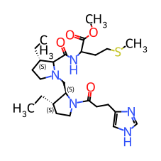 CC[C@H]1CCN(C[C@@H]2[C@@H](CC)CCN2C(=O)CCc2c[nH]cn2)C1C(=O)NC(CCSC)C(=O)OC